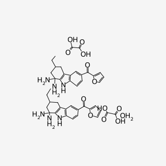 CCC1Cc2c([nH]c3ccc(C(=O)c4ccco4)cc23)C(N)(N)C1.CCC1Cc2c([nH]c3ccc(C(=O)c4ccco4)cc23)C(N)(N)C1.O.O=C(O)C(=O)O.O=C(O)C(=O)O